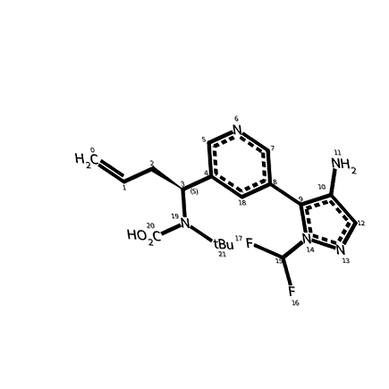 C=CC[C@@H](c1cncc(-c2c(N)cnn2C(F)F)c1)N(C(=O)O)C(C)(C)C